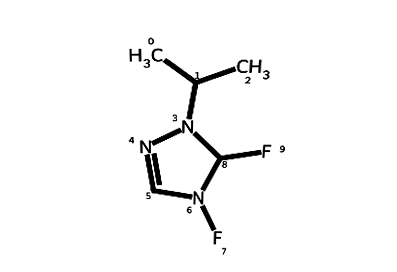 CC(C)N1N=CN(F)C1F